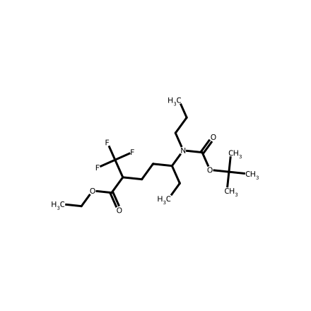 CCCN(C(=O)OC(C)(C)C)C(CC)CCC(C(=O)OCC)C(F)(F)F